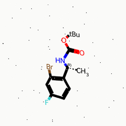 C[C@@H](NC(=O)OC(C)(C)C)c1ccc(F)cc1Br